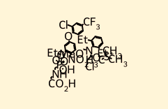 CCOc1cc(Oc2ccc(C(F)(F)F)cc2Cl)ccc1[N+](=O)[O-].CCc1cccc(CC)c1N(COC)C(=O)CCl.C[S+](C)C.O=C(O)CNCP(=O)([O-])O